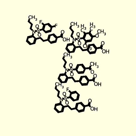 CCCCN(c1ccccc1CCc1ccc(C(=O)O)cc1)S(=O)(=O)c1c(C)cc(OC)c(C)c1C.CCCCN(c1ccccc1CCc1ccc(C(=O)O)cc1)S(=O)(=O)c1ccc(C(C)=O)cc1.CCCCN(c1ccccc1CCc1ccc(C(=O)O)cc1)S(=O)(=O)c1ccc(F)cc1F.CCCCN(c1ccccc1CCc1ccc(C(=O)O)cc1)S(=O)(=O)c1ccccc1F